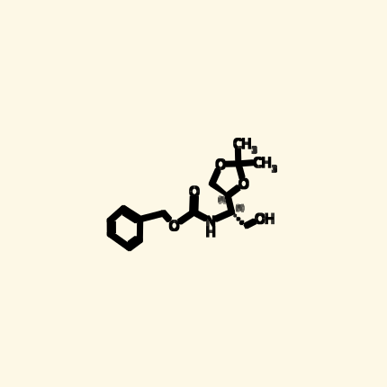 CC1(C)OC[C@H]([C@H](CO)NC(=O)OCc2ccccc2)O1